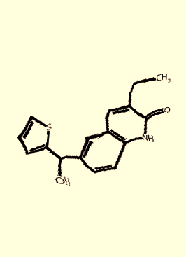 CCc1cc2cc(C(O)c3cccs3)ccc2[nH]c1=O